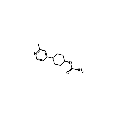 Cc1cc(N2CCC(OC(N)=O)CC2)ccn1